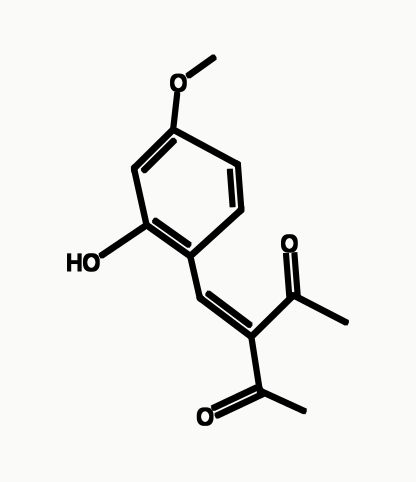 COc1ccc(C=C(C(C)=O)C(C)=O)c(O)c1